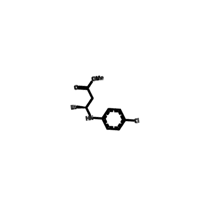 CC[C@@H](CC(=O)OC)Nc1ccc(Cl)cc1